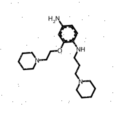 Nc1ccc(NCCCN2CCCCC2)c(OCCN2CCCCC2)c1